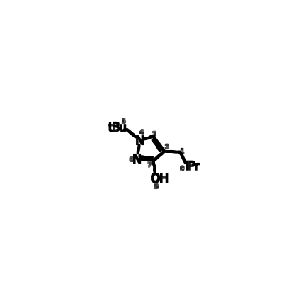 CC(C)Cc1cn(C(C)(C)C)nc1O